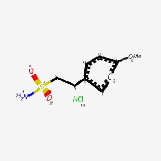 COc1ccc(CCS(N)(=O)=O)cc1.Cl